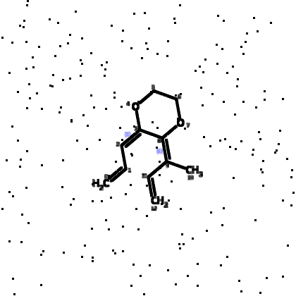 C=C/C=C1/OCCO/C1=C(\C)C=C